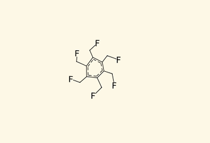 FCc1c(CF)c(CF)c(CF)c(CF)c1CF